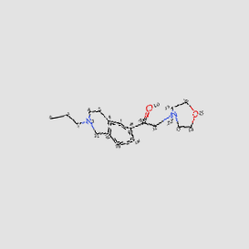 CCCN1CCc2cc(C(=O)CN3CCOCC3)ccc2C1